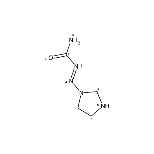 NC(=O)N=NN1CCNC1